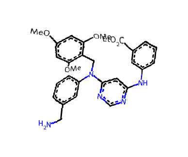 CCOC(=O)c1cccc(Nc2cc(N(Cc3c(OC)cc(OC)cc3OC)c3cccc(CN)c3)ncn2)c1